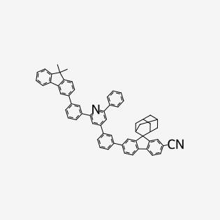 CC1(C)c2ccccc2-c2cc(-c3cccc(-c4cc(-c5cccc(-c6ccc7c(c6)C6(c8cc(C#N)ccc8-7)C7CC8CC(C7)CC6C8)c5)cc(-c5ccccc5)n4)c3)ccc21